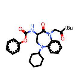 CC(C)(C)C(=O)CN1C(=O)C(NC(=O)Oc2ccccc2)CN(C2CCCCC2)c2ccccc21